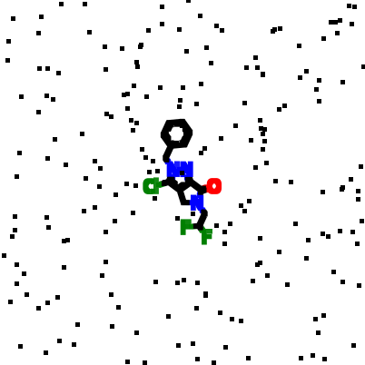 O=C1c2nn(Cc3ccccc3)c(Cl)c2CN1CC(F)F